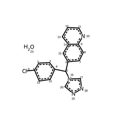 Clc1ccc(C(c2ccc3ncccc3c2)n2cnnc2)cc1.O